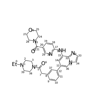 CCN1CCN(C(=O)Cc2cccc(-c3cc(Nc4ccc(C(=O)N5CCOCC5)cn4)c4nccn4c3)c2)CC1